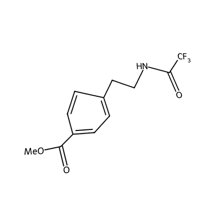 COC(=O)c1ccc(CCNC(=O)C(F)(F)F)cc1